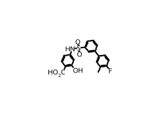 Cc1cc(-c2cccc(S(=O)(=O)Nc3ccc(C(=O)O)c(O)c3)c2)ccc1F